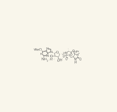 COc1nc(N)nc2c1ncn2[C@@H]1O[C@H](COP(=O)(N[C@H](C)C(=O)OC(C)C)SCC2NC(=O)N(C)C2=O)[C@@H](O)[C@@]1(C)O